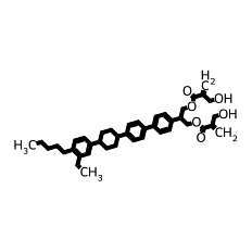 C=C(CO)C(=O)OCC(COC(=O)C(=C)CO)c1ccc(-c2ccc(C3CCC(c4ccc(CCCCC)c(CC)c4)CC3)cc2)cc1